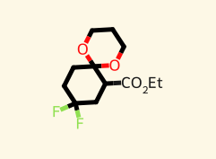 CCOC(=O)C1CC(F)(F)CCC12OCCCO2